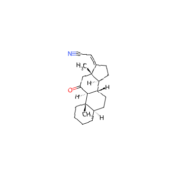 C[C@]12CCCC[C@@H]1CC[C@@H]1[C@@H]2C(=O)C[C@]2(C)/C(=C\C#N)CC[C@@H]12